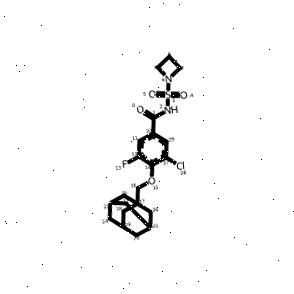 O=C(NS(=O)(=O)N1CCC1)c1cc(F)c(OCC23CC4CC(CC(C4)C2)C3)c(Cl)c1